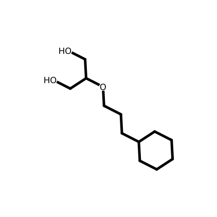 OCC(CO)OCCCC1CCCCC1